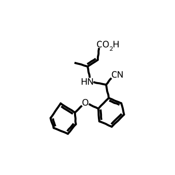 CC(=CC(=O)O)NC(C#N)c1ccccc1Oc1ccccc1